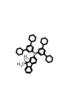 CC1(C)c2ccccc2-c2ccc(N(c3cc(C4CCCCC4)cc(C4CCCCC4)c3)c3cc(C4CCCCC4)cc(C4CCCCC4)c3)cc21